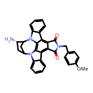 COc1ccc(CN2C(=O)c3c(c4c5ccccc5n5c4c4c3c3ccccc3n4C3CC5[C@@H](N)C3)C2=O)cc1